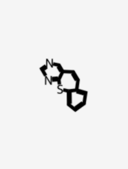 C1=Cc2cncnc2Sc2ccccc21